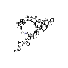 CC[C@@H]1CC/C=C/[C@H](OCC(=O)NCCOC)[C@@H]2CC[C@H]2CN2C[C@@]3(CCCc4cc(Cl)ccc43)COc3ccc(cc32)C(=O)NS1(=O)=O